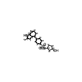 Cc1cc2c(-c3ccc(S(=O)(=O)NC4CCC(O)C4)cc3)ccnc2[nH]1